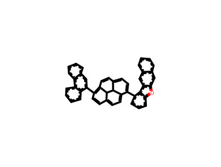 C1=CC2=C(c3cc4ccccc4c4ccccc34)C=CC3=CC=C4C(c5cccc6oc7cc8ccccc8cc7c56)=CC=C1C4C32